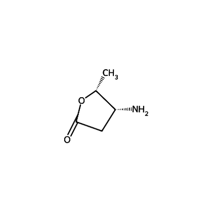 C[C@H]1OC(=O)C[C@H]1N